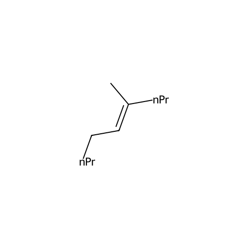 [CH2]CCC(C)=CCCCC